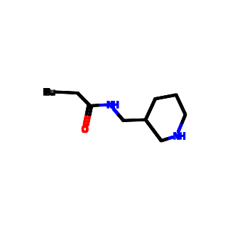 CCC(C)CC(=O)NCC1CCCNC1